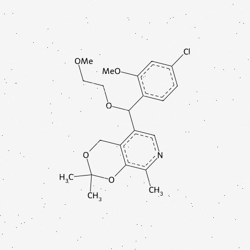 COCCOC(c1ccc(Cl)cc1OC)c1cnc(C)c2c1COC(C)(C)O2